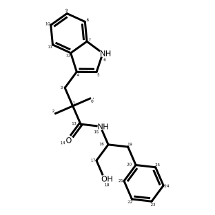 [CH2]C(C)(Cc1c[nH]c2ccccc12)C(=O)NC(CO)Cc1ccccc1